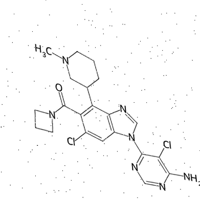 CN1CCCC(c2c(C(=O)N3CCC3)c(Cl)cc3c2ncn3-c2ncnc(N)c2Cl)C1